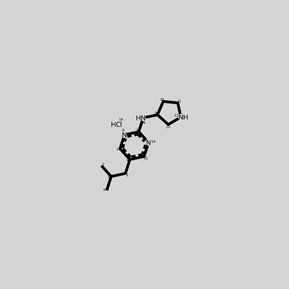 CC(C)Cc1cnc(NC2CCNC2)nc1.Cl